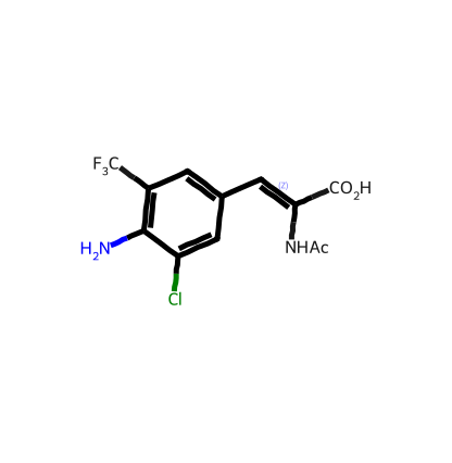 CC(=O)N/C(=C\c1cc(Cl)c(N)c(C(F)(F)F)c1)C(=O)O